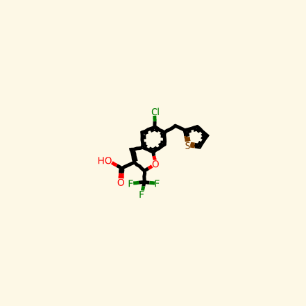 O=C(O)C1=Cc2cc(Cl)c(Cc3cccs3)cc2OC1C(F)(F)F